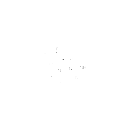 CC[C@@H]1[C@@H](CC)OC(n2c(=O)sc3cnc(N)nc32)[C@@H]1OC(C)=O